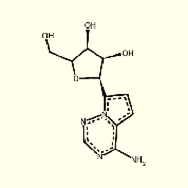 Nc1ncnn2c([C@H]3OC(CO)[C@@H](O)[C@H]3O)ccc12